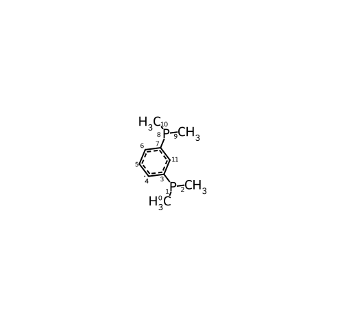 CP(C)c1[c]ccc(P(C)C)c1